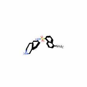 CC(=O)Nc1cccc2c(S(=O)(=O)Nc3ccc4c(c3)CCNC4)cccc12